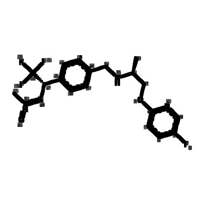 C[C@@H](COc1ccc(F)cn1)NCc1ccc([C@H](/N=[SH](\C)=O)C(F)(F)F)cc1